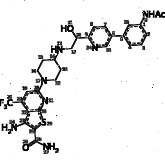 CC(=O)Nc1cccc(-c2ccc(C(O)CNC3CCN(c4cc(C(F)(F)F)c5c(N)c(C(N)=O)sc5n4)CC3)nc2)c1